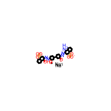 COc1cc(-c2ccc(N=Nc3cc(S(=O)(=O)[O-])c4ccccc4c3O)c(OC)c2)ccc1N=Nc1cc(S(=O)(=O)[O-])c2ccccc2c1N.[Na+].[Na+]